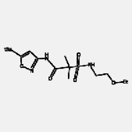 CCOCCNS(=O)(=O)C(C)(C)C(=O)Nc1cc(C(C)(C)C)on1